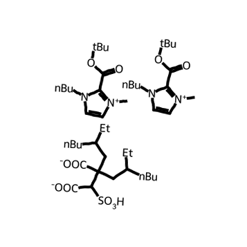 CCCCC(CC)CC(CC(CC)CCCC)(C(=O)[O-])C(C(=O)[O-])S(=O)(=O)O.CCCCn1cc[n+](C)c1C(=O)OC(C)(C)C.CCCCn1cc[n+](C)c1C(=O)OC(C)(C)C